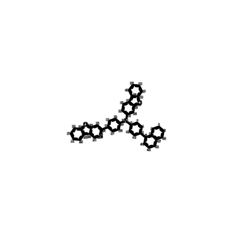 c1ccc2c(-c3ccc(N(c4ccc(-c5cc6oc7ccccc7c6cn5)cc4)c4ccc5c(c4)oc4ccccc45)cc3)cccc2c1